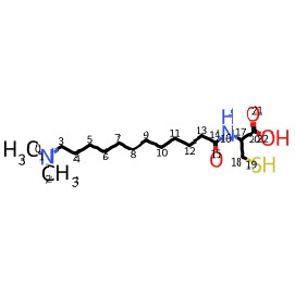 CN(C)CCCCCCCCCCCC(=O)NC(CS)C(=O)O